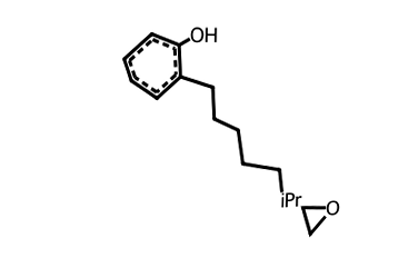 C1CO1.CC(C)CCCCCc1ccccc1O